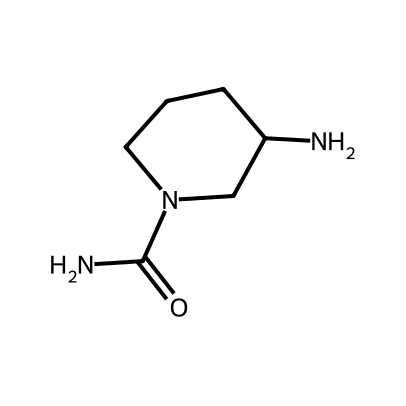 NC(=O)N1CCCC(N)C1